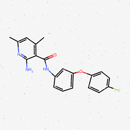 Cc1cc(C)c(C(=O)Nc2cccc(Oc3ccc(F)cc3)c2)c(N)n1